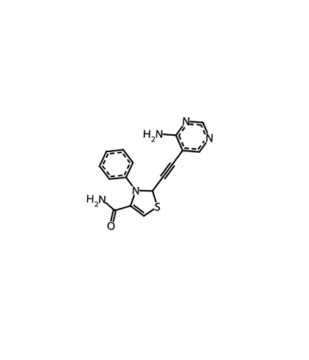 NC(=O)C1=CSC(C#Cc2cncnc2N)N1c1ccccc1